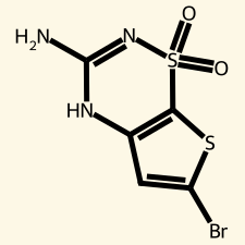 NC1=NS(=O)(=O)c2sc(Br)cc2N1